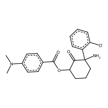 CN(C)c1ccc(C(=O)OC2CCCC(N)(c3ccccc3Cl)C2=O)cc1